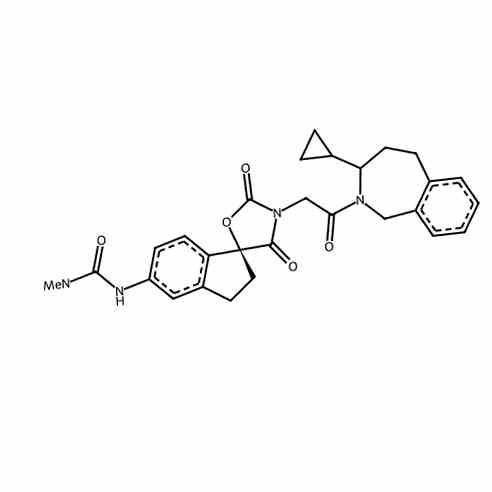 CNC(=O)Nc1ccc2c(c1)CC[C@]21OC(=O)N(CC(=O)N2Cc3ccccc3CCC2C2CC2)C1=O